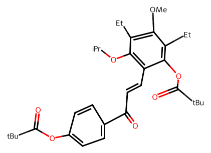 CCc1c(OC(=O)C(C)(C)C)c(C=CC(=O)c2ccc(OC(=O)C(C)(C)C)cc2)c(OC(C)C)c(CC)c1OC